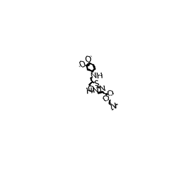 COc1ccc(NCC(C=O)Sc2nc(C(=O)OCCN(C)C)c[nH]2)cc1OC